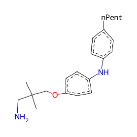 CCCCCc1ccc(Nc2ccc(OCC(C)(C)CN)cc2)cc1